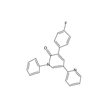 O=c1c(-c2ccc(F)cc2)cc(-c2ccccn2)cn1-c1ccccc1